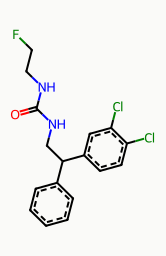 O=C(NCCF)NCC(c1ccccc1)c1ccc(Cl)c(Cl)c1